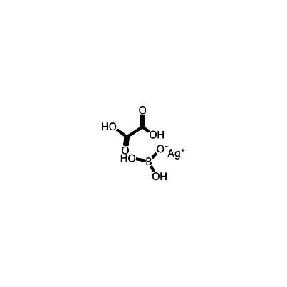 O=C(O)C(=O)O.[Ag+].[O-]B(O)O